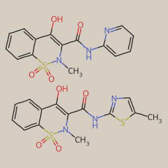 CN1C(C(=O)Nc2ccccn2)=C(O)c2ccccc2S1(=O)=O.Cc1cnc(NC(=O)C2=C(O)c3ccccc3S(=O)(=O)N2C)s1